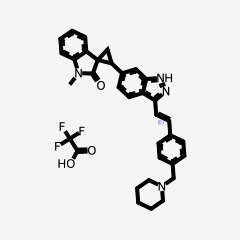 CN1C(=O)C2(CC2c2ccc3c(/C=C/c4ccc(CN5CCCCC5)cc4)n[nH]c3c2)c2ccccc21.O=C(O)C(F)(F)F